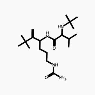 C=C(C(CCCNC(N)=O)NC(=O)C(NC(C)(C)C)C(C)C)C(C)(C)C